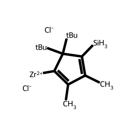 CC1=C([SiH3])C(C(C)(C)C)(C(C)(C)C)[C]([Zr+2])=C1C.[Cl-].[Cl-]